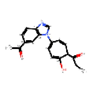 CCC(=O)C1C=CC(n2cnc3ccc(C(C)=O)cc32)=CC=C1O